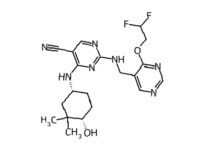 CC1(C)C[C@H](Nc2nc(NCc3cncnc3OCC(F)F)ncc2C#N)CC[C@@H]1O